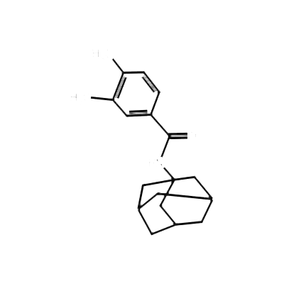 Cc1ccc(C(=O)NC23CC4CC(CC(C4)C2)C3)cc1C